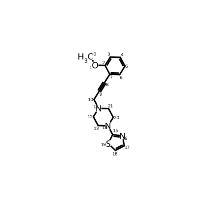 COc1ccccc1C#CCN1CCN(c2nccs2)CC1